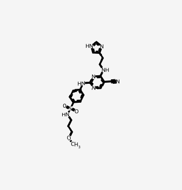 COCCCNS(=O)(=O)c1ccc(Nc2ncc(C#N)c(NCCc3c[nH]cn3)n2)cc1